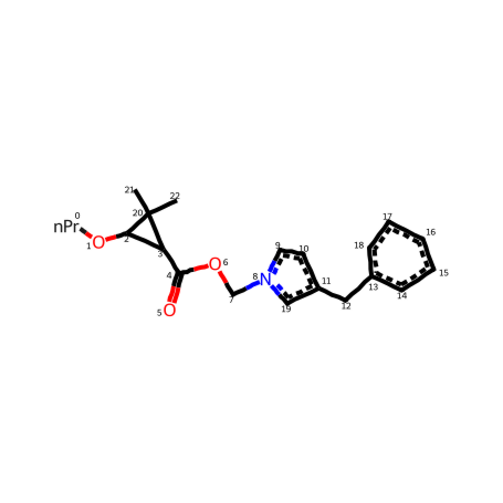 CCCOC1C(C(=O)OCn2ccc(Cc3ccccc3)c2)C1(C)C